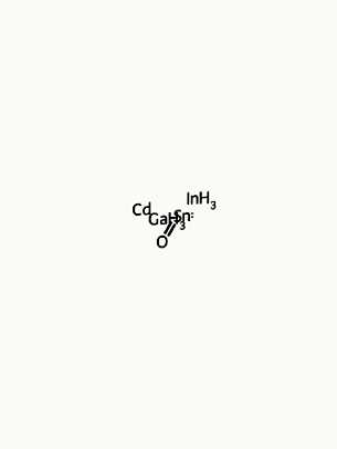 [Cd].[GaH3].[InH3].[O]=[Sn]